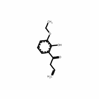 C=CCC(=O)c1cccc(OCC)c1O